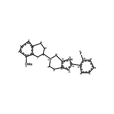 COc1cccc2c1CC(N1CCc3nc(-c4ccccc4F)[nH]c3C1)CC2